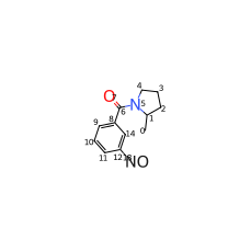 CC1CCCN1C(=O)c1cccc(N=O)c1